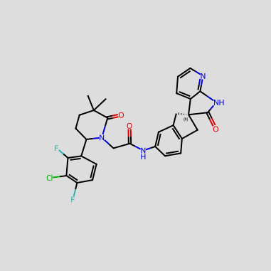 CC1(C)CCC(c2ccc(F)c(Cl)c2F)N(CC(=O)Nc2ccc3c(c2)C[C@@]2(C3)C(=O)Nc3ncccc32)C1=O